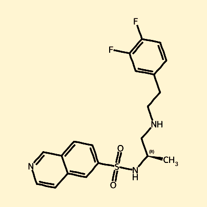 C[C@H](CNCCc1ccc(F)c(F)c1)NS(=O)(=O)c1ccc2cnccc2c1